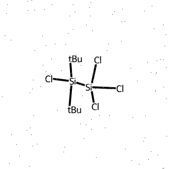 CC(C)(C)[Si](Cl)(C(C)(C)C)[Si](Cl)(Cl)Cl